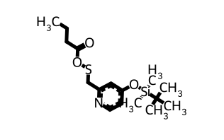 CCCC(=O)OSCc1cc(O[Si](C)(C)C(C)(C)C)ccn1